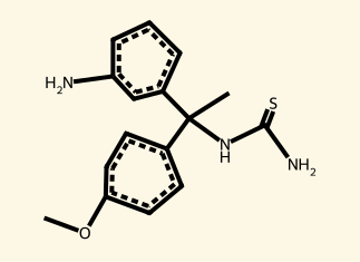 COc1ccc(C(C)(NC(N)=S)c2cccc(N)c2)cc1